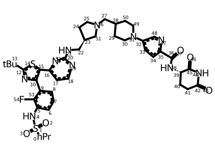 CCCS(=O)(=O)Nc1cccc(-c2nc(C(C)(C)C)sc2-c2ccnc(NC[C@H]3CCN(CC4CCN(c5ccc(C(=O)N[C@H]6CCC(=O)NC6=O)nc5)CC4)C3)n2)c1F